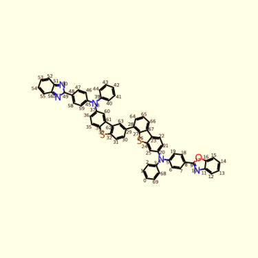 c1ccc(N(c2ccc(-c3nc4ccccc4o3)cc2)c2ccc3c(c2)sc2c(-c4ccc5sc6ccc(N(c7ccccc7)c7ccc(C8N=c9ccccc9=N8)cc7)cc6c5c4)cccc23)cc1